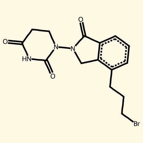 O=C1CCN(N2Cc3c(CCCBr)cccc3C2=O)C(=O)N1